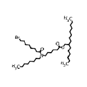 CCCCCCCCC(CCCCCC)COC(=O)CCCCCN(CCCCCCCC)C(=O)CCCCCCCBr